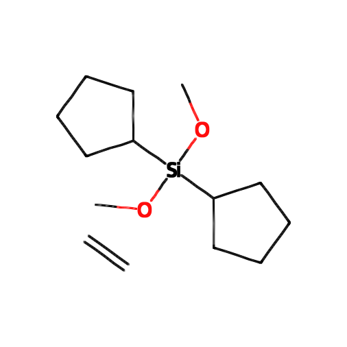 C=C.CO[Si](OC)(C1CCCC1)C1CCCC1